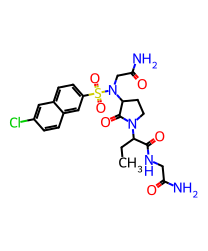 CCC(C(=O)NCC(N)=O)N1CCC(N(CC(N)=O)S(=O)(=O)c2ccc3cc(Cl)ccc3c2)C1=O